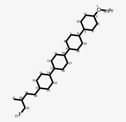 CCCOC1CCC(C2CCC(C3CCC(C4CCC(CCC(C)CF)CC4)CC3)CC2)CC1